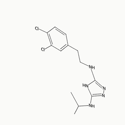 CC(C)Nc1nnc(NCCc2ccc(Cl)c(Cl)c2)[nH]1